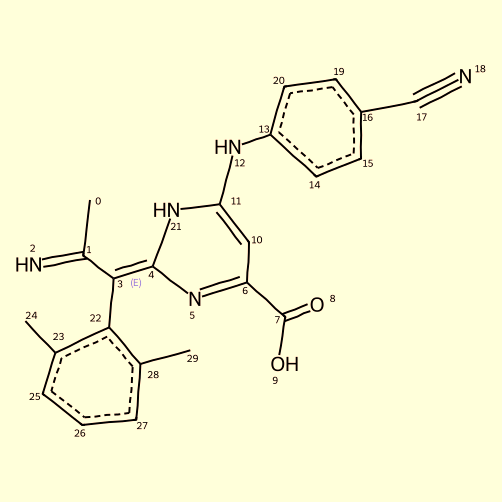 CC(=N)/C(=C1/N=C(C(=O)O)C=C(Nc2ccc(C#N)cc2)N1)c1c(C)cccc1C